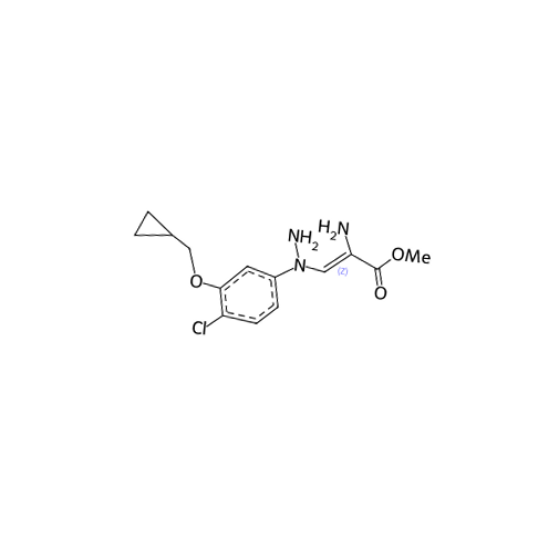 COC(=O)/C(N)=C/N(N)c1ccc(Cl)c(OCC2CC2)c1